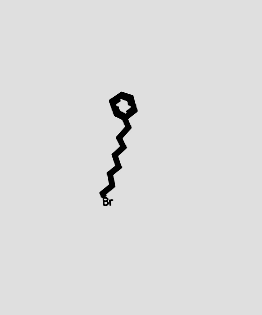 BrCCCCCCCCc1ccccc1